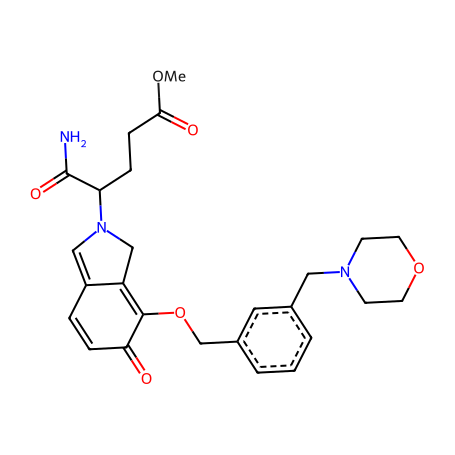 COC(=O)CCC(C(N)=O)N1C=C2C=CC(=O)C(OCc3cccc(CN4CCOCC4)c3)=C2C1